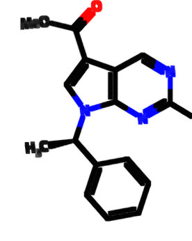 COC(=O)c1cn([C@H](C)c2ccccc2)c2nc(CCl)ncc12